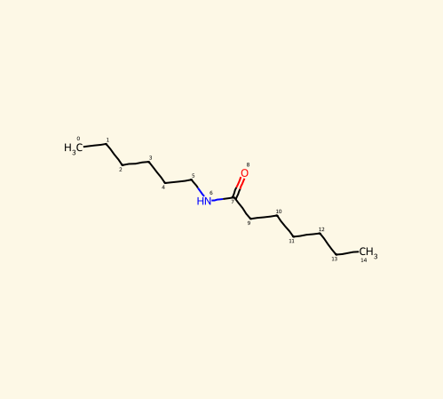 CCCCCCNC(=O)CCCCCC